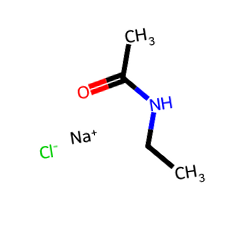 CCNC(C)=O.[Cl-].[Na+]